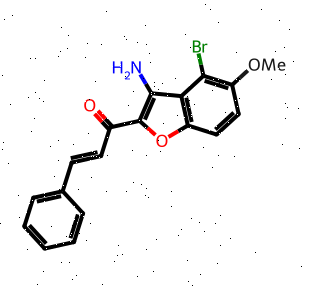 COc1ccc2oc(C(=O)/C=C/c3ccccc3)c(N)c2c1Br